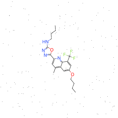 CCCCNc1nnc(-c2cc(C)c3cc(OCCCC)cc(C(F)(F)F)c3n2)o1